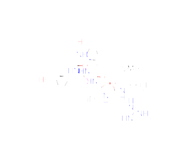 CSCC[C@H](NC(=O)[C@H](CCCNC(=N)N)NC(=O)[C@H](CC(C)C)NC(=O)[C@H](Cc1ccc(O)cc1)NC(=O)[C@H](Cc1ccc(O)cc1)NC(=O)CN)C(=O)O